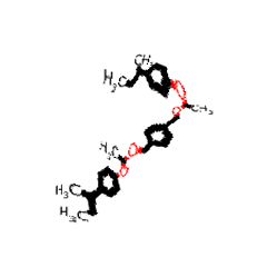 CCC(C)c1ccc(OC(C)OCc2ccc(COC(C)Oc3ccc(C(C)CC)cc3)cc2)cc1